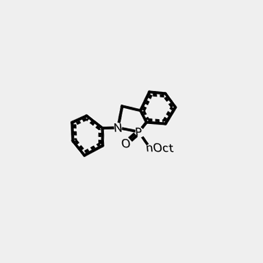 CCCCCCCCP1(=O)c2ccccc2CN1c1ccccc1